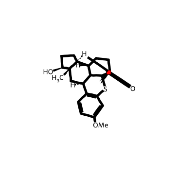 COc1ccc2c(c1)S[C@]13CCC(=O)C=C1CC[C@@H]1C3[C@@H]2C[C@]2(C)[C@@H](O)CC[C@@H]12